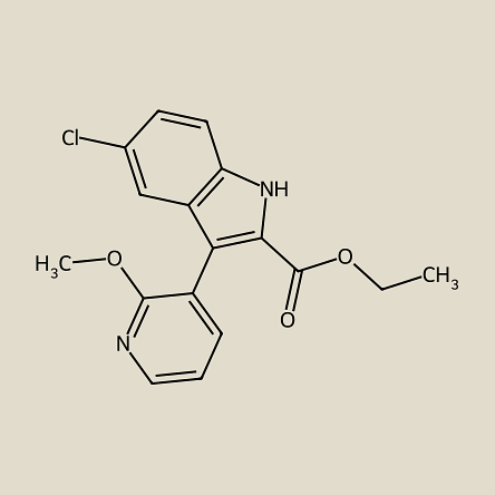 CCOC(=O)c1[nH]c2ccc(Cl)cc2c1-c1cccnc1OC